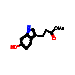 COC(=O)CCc1c[nH]c2cc(O)ccc12